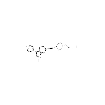 CC(C)CN1CCC(C#Cc2ccc3c(-c4ccncc4)c[nH]c3n2)CC1